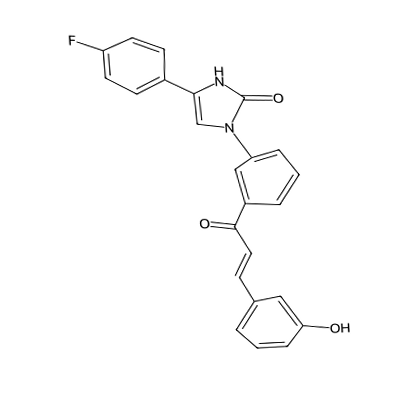 O=C(/C=C/c1cccc(O)c1)c1cccc(-n2cc(-c3ccc(F)cc3)[nH]c2=O)c1